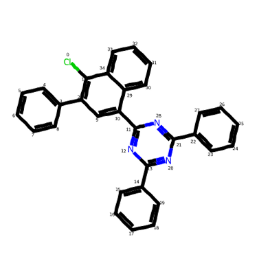 Clc1c(-c2ccccc2)cc(-c2nc(-c3ccccc3)nc(-c3ccccc3)n2)c2ccccc12